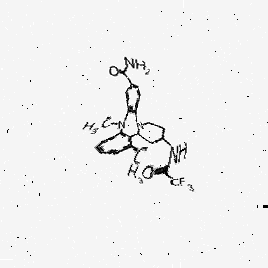 Cc1cccc2c1C1CC(NC(=O)C(F)(F)F)CCN1c1ccc(C(N)=O)cc1N2C